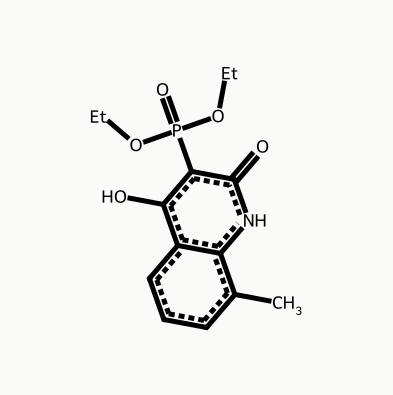 CCOP(=O)(OCC)c1c(O)c2cccc(C)c2[nH]c1=O